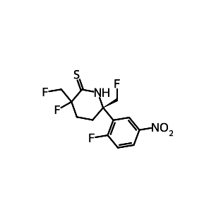 O=[N+]([O-])c1ccc(F)c([C@]2(CF)CCC(F)(CF)C(=S)N2)c1